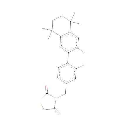 CC1(C)CCC(C)(C)c2cc(C(F)(F)F)c(-c3ccc(CN4C(=O)CSC4=O)cc3Cl)cc21